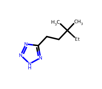 CCC(C)(C)CCc1nn[nH]n1